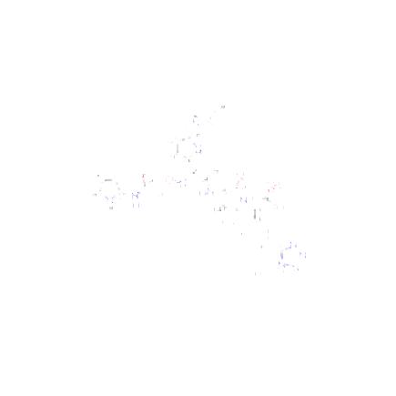 Cn1nnnc1SCC1=C(C(=O)O)N2C(=O)C(NC(=O)C(=NOCC(=O)Nc3nccs3)c3csc(NC=O)n3)[C@@H]2SC1